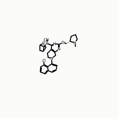 CN(c1nc(OC[C@@H]2CCCN2C)nc2c1CCN(c1cccc3cccc(Cl)c13)C2)C1C2CC1N(C#N)C2